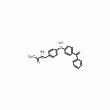 COC(=O)[C@H](N)Cc1ccc(Oc2ccc(C(=O)c3ccccc3)cc2)cc1.Cl